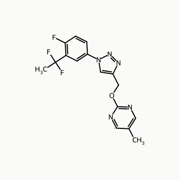 Cc1[c]nc(OCc2cn(-c3ccc(F)c(C(C)(F)F)c3)nn2)nc1